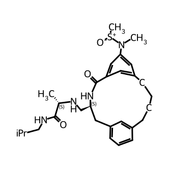 CC(C)CNC(=O)[C@H](C)NC[C@@H]1Cc2cccc(c2)CCCCc2cc(cc(N(C)[S+](C)[O-])c2)C(=O)N1